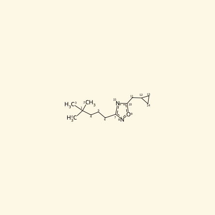 CC(C)(C)CCCc1noc(CC2CC2)n1